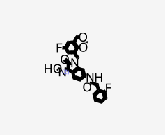 O=C(Cc1ccccc1F)Nc1ccc2c(c1)N(Cc1cc(F)cc3c1OCOC3)C(=O)/C2=N\O